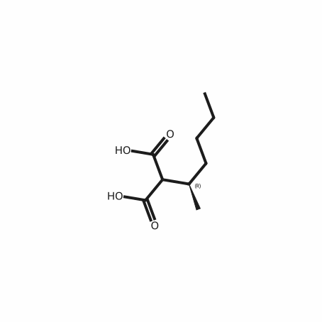 CCCC[C@@H](C)C(C(=O)O)C(=O)O